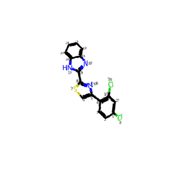 Clc1ccc(-c2csc(-c3nc4ccccc4[nH]3)n2)c(Cl)c1